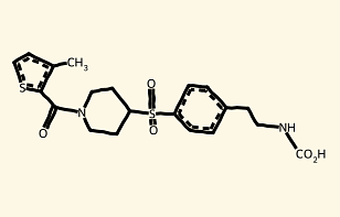 Cc1ccsc1C(=O)N1CCC(S(=O)(=O)c2ccc(CCNC(=O)O)cc2)CC1